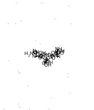 Nc1nc2c(ncn2[C@@H]2O[C@H](COP(=O)(OC[C@H]3O[C@@H](n4cnc5c(N)ncnc54)[C@H](O)[C@@H]3O)OP(=O)(O)O)[C@@H](O)[C@H]2O)c(=O)[nH]1